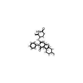 C=C1NC(=O)CCC1Sc1nc2sc3c(c2c(=O)n1-c1ccccc1)CCC(C)C3